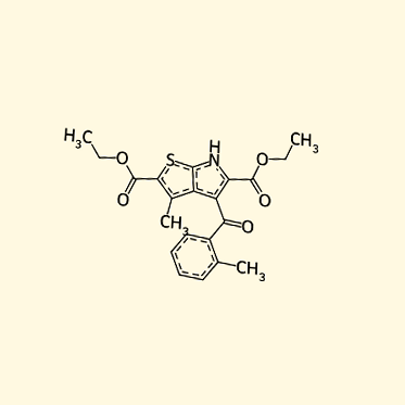 CCOC(=O)c1[nH]c2sc(C(=O)OCC)c(C)c2c1C(=O)c1ccccc1C